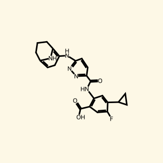 O=C(Nc1cc(C2CC2)c(F)cc1C(=O)O)c1ccc(NC2=C3CCCC(=CC2)N3)nn1